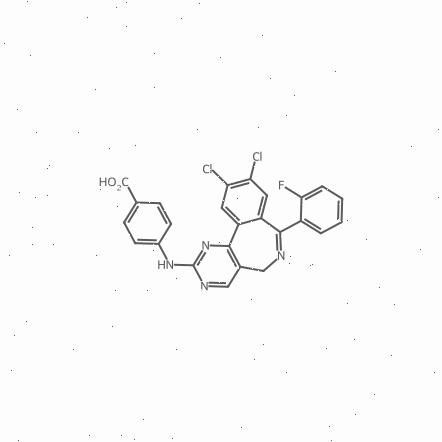 O=C(O)c1ccc(Nc2ncc3c(n2)-c2cc(Cl)c(Cl)cc2C(c2ccccc2F)=NC3)cc1